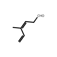 C=C/C(C)=C\CC=O